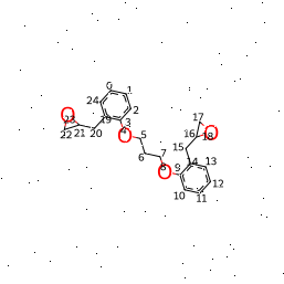 c1ccc(OCCCOc2ccccc2CC2CO2)c(CC2CO2)c1